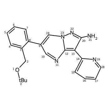 CC(C)(C)OCc1ccccc1-c1cnc2c(-c3ccccn3)c(N)nn2c1